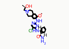 COc1cc2c(cc1Nc1ncc(Cl)c(N[C@H]3[C@@H](C(N)=O)[C@@H]4C=C[C@H]3C4)n1)CCN(C[C@@H](C)O)CC2